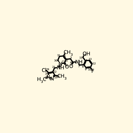 CC1=C(CC(=O)NCc2cc(F)ccc2CO)C(=O)N(NCc2c(C)nn(C)c2Cl)CC1